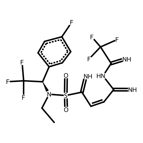 CCN([C@H](c1ccc(F)cc1)C(F)(F)F)S(=O)(=O)C(=N)/C=C\C(=N)NC(=N)C(F)(F)F